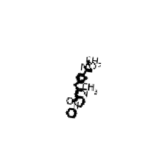 Cc1nc(-c2ccc(Cc3cc4c(nc3C)CCN(C3CCCCC3)C4=O)cc2)co1